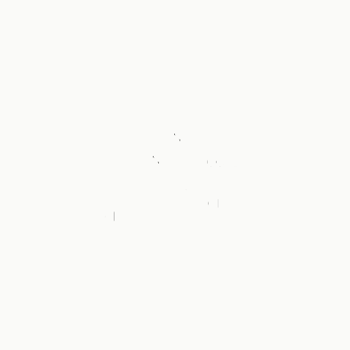 CCOC(=O)c1c(O)c2ccc(Cl)cc2n2ccnc12